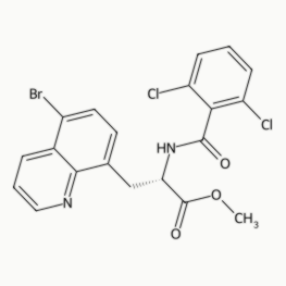 COC(=O)[C@H](Cc1ccc(Br)c2cccnc12)NC(=O)c1c(Cl)cccc1Cl